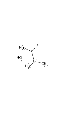 CC(F)N(C)C.Cl